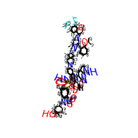 CC(C)Oc1ccccc1[C@H]1CN([C@@H]2CCOc3c2ccc(F)c3F)CCN1C1CC2(CCN(c3ccc(C(=O)NS(=O)(=O)c4ccc(NCC5CCC(C)(O)CC5)c([N+](=O)[O-])c4)c(N4c5cc6cc[nH]c6nc5O[C@H]5COCC[C@@H]54)c3)CC2)C1